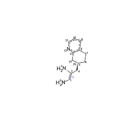 N/C=C(\N)C[C@@H]1CCc2cccnc2C1